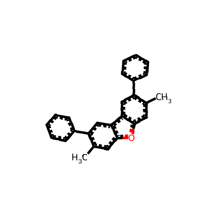 Cc1cc2oc3cc(C)c(-c4ccccc4)cc3c2cc1-c1ccccc1